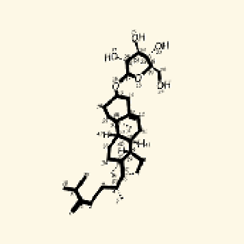 C=C(CC[C@@H](C)[C@H]1CC[C@H]2[C@@H]3CC=C4CC(OC5O[C@H](CO)[C@@H](O)[C@H](O)[C@H]5O)CC[C@]4(C)[C@H]3CC[C@]12C)C(C)C